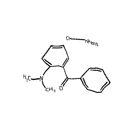 CCCCCCl.CN(C)c1ccccc1C(=O)c1ccccc1